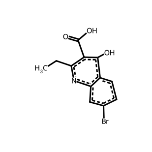 CCc1nc2cc(Br)ccc2c(O)c1C(=O)O